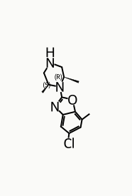 Cc1cc(Cl)cc2nc(N3[C@H](C)CNC[C@@H]3C)oc12